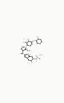 Cc1cc2cc(C(=O)c3cnn(-c4ccc(Oc5ccccc5F)c(C)c4F)c3N)[nH]c2cc1NS(C)(=O)=O